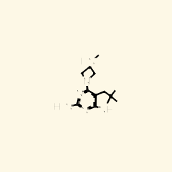 CNC1CN(c2nc(N)nc(N)c2CC(C)(C)C)C1